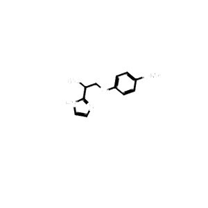 COc1ccc(OCC(c2ncc[nH]2)C(C)(C)C)cc1